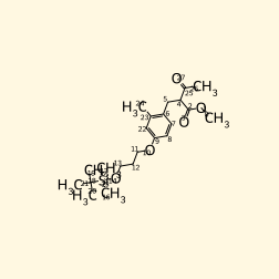 COC(=O)C(Cc1ccc(OCCCO[Si](C)(C)C(C)(C)C)cc1C)C(C)=O